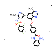 COc1ncc(-c2cc(OCc3ccc(C(=O)Nc4ccccc4N)cc3)c3ncnc(C)c3c2)cc1NS(=O)(=O)c1ccc(F)cc1F